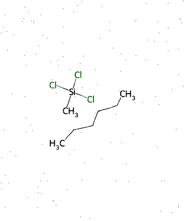 CCCCCC.C[Si](Cl)(Cl)Cl